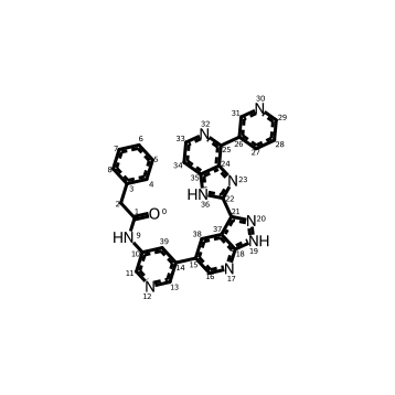 O=C(Cc1ccccc1)Nc1cncc(-c2cnc3[nH]nc(-c4nc5c(-c6cccnc6)nccc5[nH]4)c3c2)c1